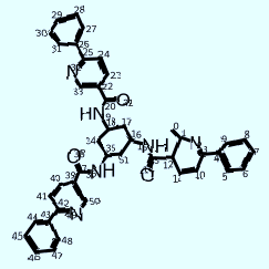 CC1N=C(c2ccccc2)C=CC1C(=O)NC1CC(NC(=O)c2ccc(-c3ccccc3)nc2)CC(NC(=O)c2ccc(-c3ccccc3)nc2)C1